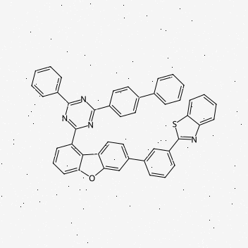 c1ccc(-c2ccc(-c3nc(-c4ccccc4)nc(-c4cccc5oc6cc(-c7cccc(-c8nc9ccccc9s8)c7)ccc6c45)n3)cc2)cc1